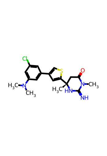 CN1C(=N)N[C@](C)(c2cc(-c3cc(Cl)cc(N(C)C)c3)cs2)CC1=O